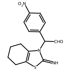 N=c1sc2c(n1C(C=O)c1ccc([N+](=O)[O-])cc1)CCCC2